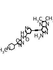 Cc1nc2cnc(N)c(C#Cc3cncc(C(=O)Nc4nnc(C5CCN(C)CC5)o4)c3)c2nc1C